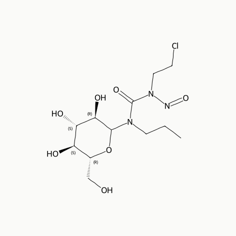 CCCN(C(=O)N(CCCl)N=O)C1O[C@H](CO)[C@@H](O)[C@H](O)[C@H]1O